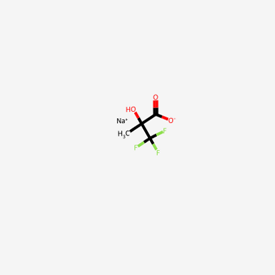 CC(O)(C(=O)[O-])C(F)(F)F.[Na+]